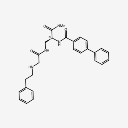 CNC(=O)[C@H](CNC(=O)CNCCc1ccccc1)NC(=O)c1ccc(-c2ccccc2)cc1